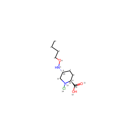 CCCCON[C@@H]1CC[C@@H](C(=O)O)N(Cl)C1